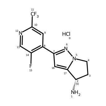 Cl.N[C@H]1CCn2nc(-c3cc(C(F)(F)F)ncc3F)cc21